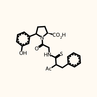 CC(=O)C(Cc1ccccc1)C(=S)NCC(=O)N1C(c2cccc(O)c2)CC[C@H]1C(=O)O